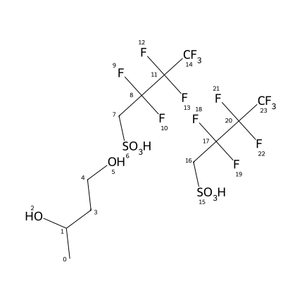 CC(O)CCO.O=S(=O)(O)CC(F)(F)C(F)(F)C(F)(F)F.O=S(=O)(O)CC(F)(F)C(F)(F)C(F)(F)F